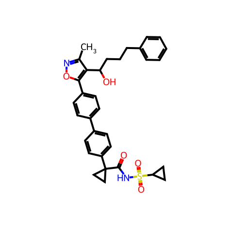 Cc1noc(-c2ccc(-c3ccc(C4(C(=O)NS(=O)(=O)C5CC5)CC4)cc3)cc2)c1C(O)CCCc1ccccc1